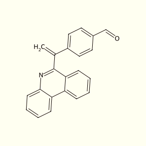 C=C(c1ccc(C=O)cc1)c1nc2ccccc2c2ccccc12